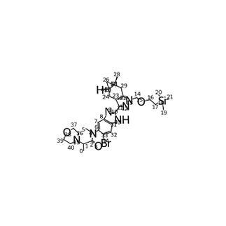 CC(C(=O)N(C)c1cc2nc(-c3nn(COCC[Si](C)(C)C)c4c3C[C@@H]3C[C@]3(C)C4)[nH]c2cc1Br)N1CCOCC1